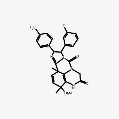 COC1(C)C=CC2(C)C3=NC(c4ccc(C(F)(F)F)cc4)C(c4cccc(F)c4)N3C(=O)N3CC(=O)NC1=C32